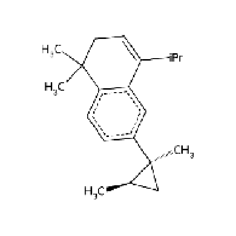 CC(C)C1=CCC(C)(C)c2ccc([C@@]3(C)C[C@H]3C)cc21